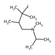 CC(C)N(C)CC(C)C(C)(C)I